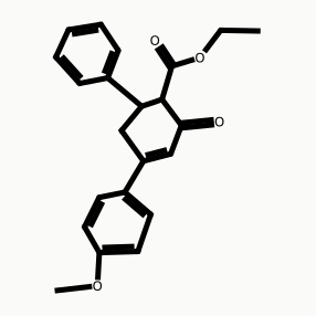 CCOC(=O)C1C(=O)C=C(c2ccc(OC)cc2)CC1c1ccccc1